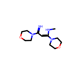 CN/C(=C\C(=N)N1CCOCC1)N1CCOCC1